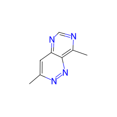 Cc1cc2ncnc(C)c2nn1